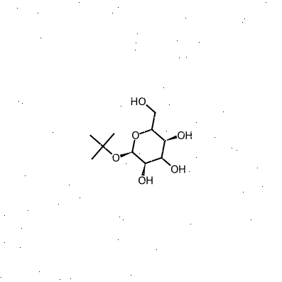 CC(C)(C)O[C@H]1OC(CO)[C@@H](O)C(O)[C@H]1O